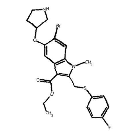 CCOC(=O)c1c(CSc2ccc(F)cc2)n(C)c2cc(Br)c(OC3CCNC3)cc12